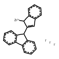 [I-].[I-].[I-].[Zr+3][CH]1C(C2c3ccccc3-c3ccccc32)=Cc2ccccc21